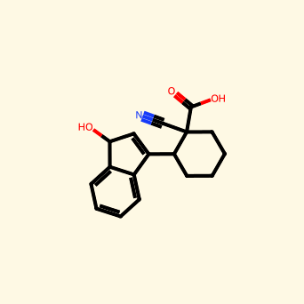 N#CC1(C(=O)O)CCCCC1C1=CC(O)c2ccccc21